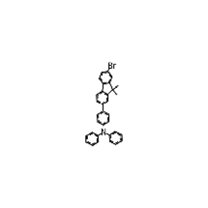 CC1(C)c2cc(Br)ccc2-c2ccc(-c3ccc(N(c4ccccc4)c4ccccc4)cc3)cc21